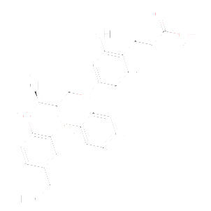 CCc1ccc(O[C@@H](C)CCOc2ccc(CCC(=O)O)c(C)c2)c(Sc2ccccc2)c1